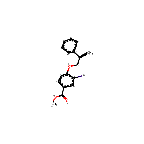 C=C(COc1ccc(C(=O)OC)cc1I)c1ccccc1